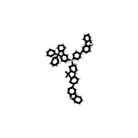 CC1(C)c2cc(-c3ccc4sc5ccccc5c4c3)ccc2-c2ccc(N(c3ccc(-c4ccc5sc6ccccc6c5c4)cc3)c3ccc4c(c3)-c3ccccc3C4(c3ccccc3)c3ccccc3)cc21